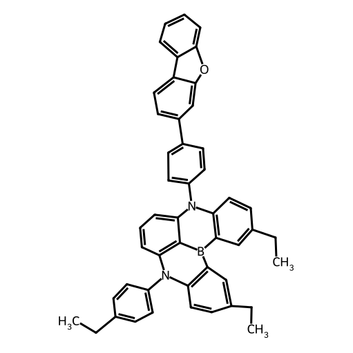 CCc1ccc(N2c3ccc(CC)cc3B3c4cc(CC)ccc4N(c4ccc(-c5ccc6c(c5)oc5ccccc56)cc4)c4cccc2c43)cc1